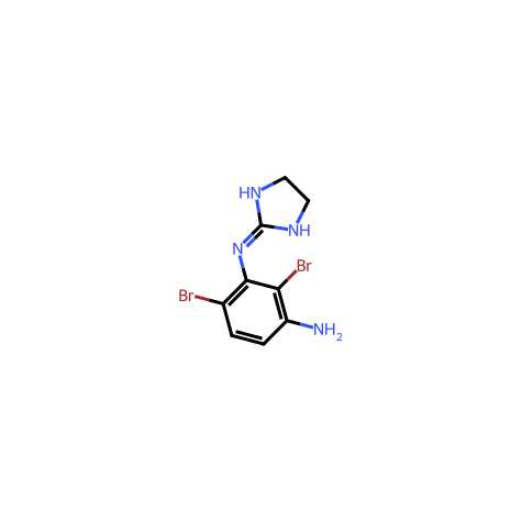 Nc1ccc(Br)c(N=C2NCCN2)c1Br